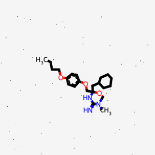 CCCCOc1ccc(OCC2(CC3CCCCC3)NC(=N)N(C)CO2)cc1